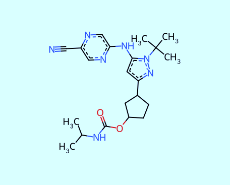 CC(C)NC(=O)OC1CCC(c2cc(Nc3cnc(C#N)cn3)n(C(C)(C)C)n2)C1